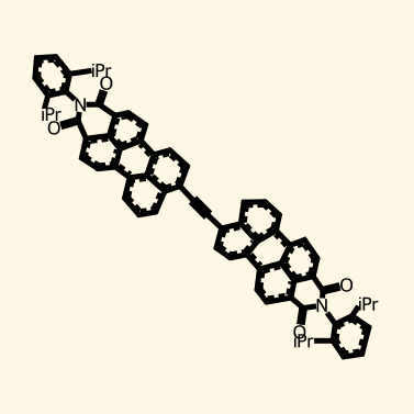 CC(C)c1cccc(C(C)C)c1N1C(=O)c2ccc3c4cccc5c(C#Cc6ccc7c8ccc9c%10c(ccc(c%11cccc6c%117)c%108)C(=O)N(c6c(C(C)C)cccc6C(C)C)C9=O)ccc(c6ccc(c2c36)C1=O)c54